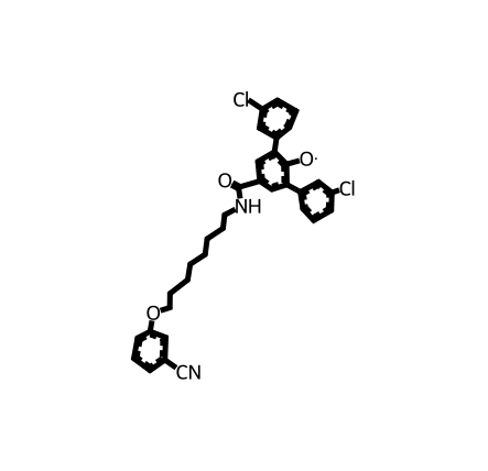 N#Cc1cccc(OCCCCCCCCNC(=O)c2cc(-c3cccc(Cl)c3)c([O])c(-c3cccc(Cl)c3)c2)c1